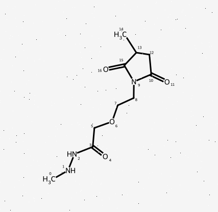 CNNC(=O)COCCN1C(=O)CC(C)C1=O